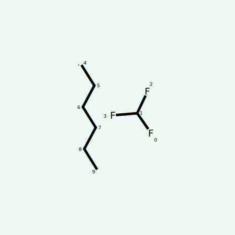 F[C](F)F.[CH2]CCCCC